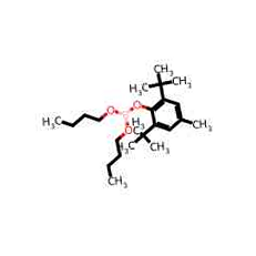 CCCCOB(OCCCC)Oc1c(C(C)(C)C)cc(C)cc1C(C)(C)C